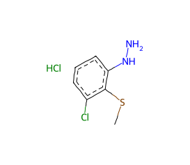 CSc1c(Cl)cccc1NN.Cl